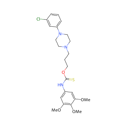 COc1cc(NC(=S)OCCCN2CCN(c3cccc(Cl)c3)CC2)cc(OC)c1OC